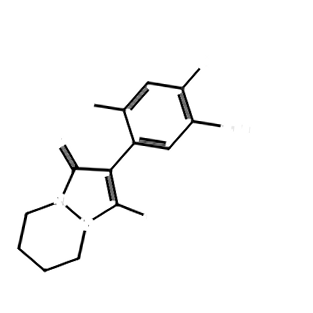 CC(C)COc1cc(-c2c(Cl)n3n(c2=O)CCCC3)c(F)cc1Cl